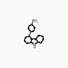 O=[N+]([O-])c1ccc(-c2cccc3[nH]c4ccccc4c23)cc1